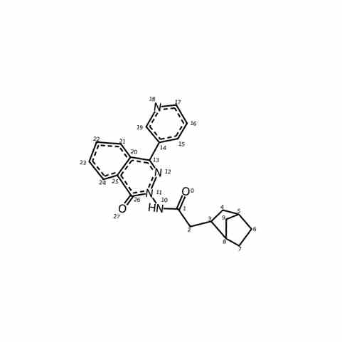 O=C(CC1CC2CCC1C2)Nn1nc(-c2cccnc2)c2ccccc2c1=O